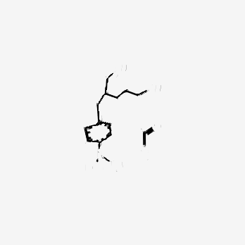 CCCCC(CC)Cc1ccc(N(C)C)cc1.O=CO